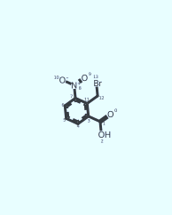 O=C(O)c1cccc([N+](=O)[O-])c1CBr